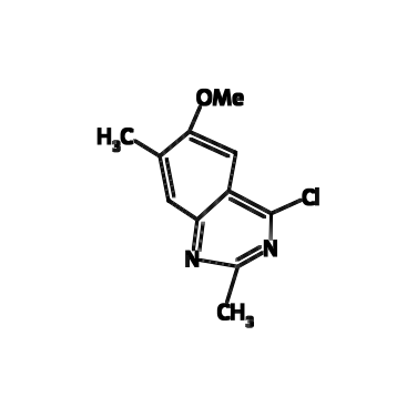 COc1cc2c(Cl)nc(C)nc2cc1C